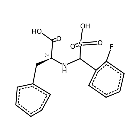 O=C(O)[C@H](Cc1ccccc1)NC(c1ccccc1F)S(=O)(=O)O